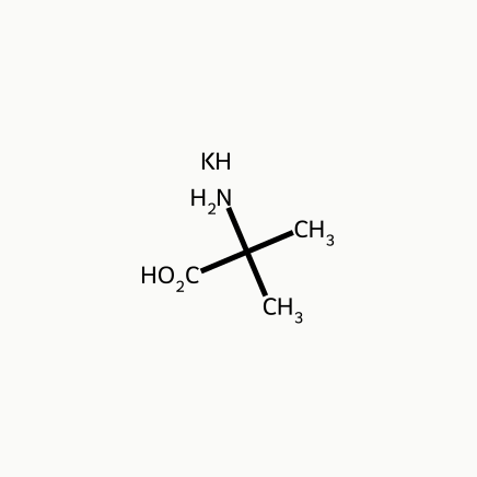 CC(C)(N)C(=O)O.[KH]